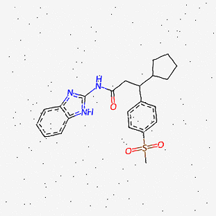 CS(=O)(=O)c1ccc(C(CC(=O)Nc2nc3ccccc3[nH]2)C2CCCC2)cc1